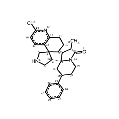 CCCC1([C@@H]2CNCC23CCCc2nc(Cl)ccc23)CC(c2ccccc2)CCN1C=O